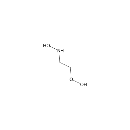 ONCCOO